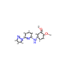 COc1ccc(Nc2cccc(-n3cccn3)n2)cc1OC